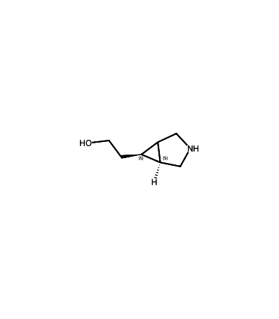 OCC[C@H]1C2CNC[C@H]21